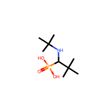 CC(C)(C)NC(C(C)(C)C)P(=O)(O)O